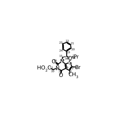 Cc1c(Br)sc2c1c(=O)n(CC(=O)O)c(=O)n2C[C@H](OC(C)C)c1ccccc1